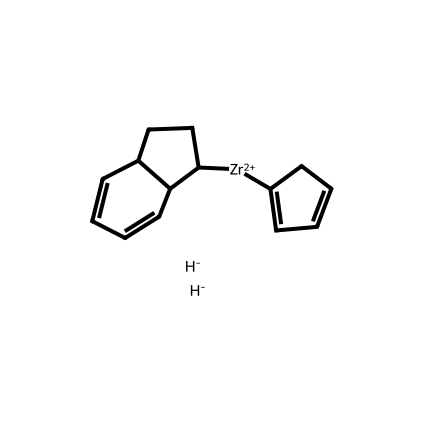 C1=CC[C]([Zr+2][CH]2CCC3C=CC=CC32)=C1.[H-].[H-]